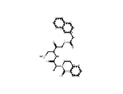 CC(C(=O)NC(CC(=O)O)C(=O)COC(=O)Cc1ccc2ccccc2c1)N1CCc2ccccc2C1=O